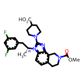 COC(=O)N1CCc2ccc3c(nc(N4CCC(C(=O)O)CC4)n3[C@H](C)Cc3cc(F)cc(F)c3)c2C1